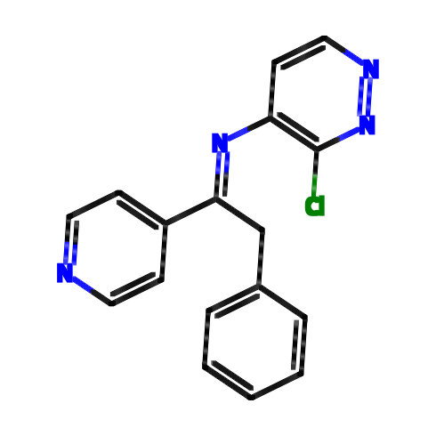 Clc1nnccc1N=C(Cc1ccccc1)c1ccncc1